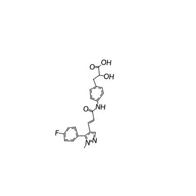 Cn1ncc(C=CC(=O)Nc2ccc(CC(O)C(=O)O)cc2)c1-c1ccc(F)cc1